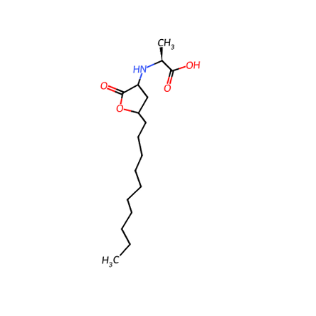 CCCCCCCCCCC1CC(N[C@@H](C)C(=O)O)C(=O)O1